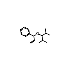 C=CC(OC(C(C)C)C(C)C)c1ccccc1